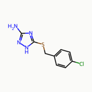 Nc1n[nH]c(SCc2ccc(Cl)cc2)n1